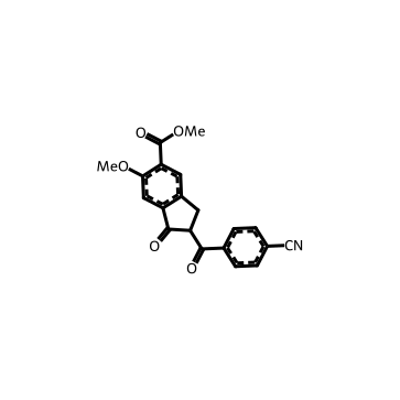 COC(=O)c1cc2c(cc1OC)C(=O)C(C(=O)c1ccc(C#N)cc1)C2